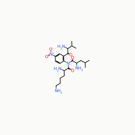 CC(C)CC(N)C(=O)N(C(=O)C(N)CCCCN)c1ccc([N+](=O)[O-])cc1C(=O)C(N)C(C)C